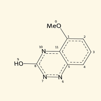 COc1cccc2nnc(O)nc12